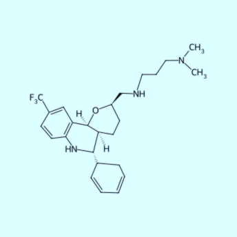 CN(C)CCCNC[C@H]1CC[C@@H]2[C@H](O1)c1cc(C(F)(F)F)ccc1N[C@H]2C1C=CC=CC1